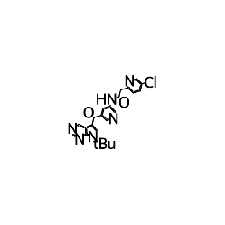 CC(C)(C)n1cc(C(=O)c2cncc(NC(=O)Cc3ccc(Cl)cn3)c2)c2cncnc21